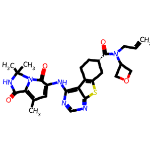 C=CCN(C(=O)[C@H]1CCc2c(sc3ncnc(Nc4cc(C)c5n(c4=O)C(C)(C)NC5=O)c23)C1)C1COC1